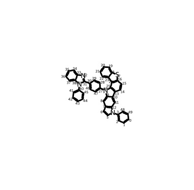 c1ccc(-n2ccc3cc4c(cc32)c2ccc3sc5ccccc5c3c2n4-c2ccc(-c3nc4ccccc4n3-c3ccccc3)cc2)cc1